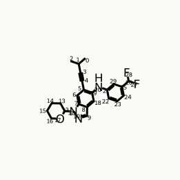 CC(C)C#Cc1cc2c(cnn2C2CCCCO2)cc1Nc1cccc(C(F)F)c1